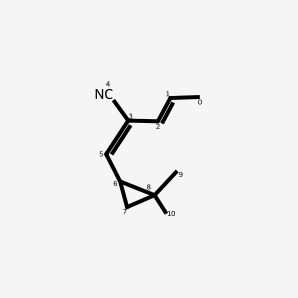 CC=CC(C#N)=CC1CC1(C)C